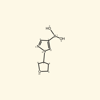 OB(O)c1cnn(C2CCOC2)c1